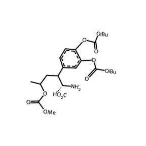 COC(=O)OC(C)CC(c1ccc(OC(=O)OCC(C)C)c(OC(=O)OCC(C)C)c1)[C@H](N)C(=O)O